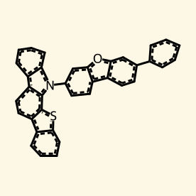 c1ccc(-c2ccc3c(c2)oc2cc(-n4c5ccccc5c5ccc6c7ccccc7sc6c54)ccc23)cc1